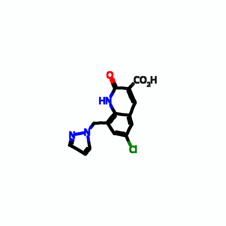 O=C(O)c1cc2cc(Cl)cc(Cn3cccn3)c2[nH]c1=O